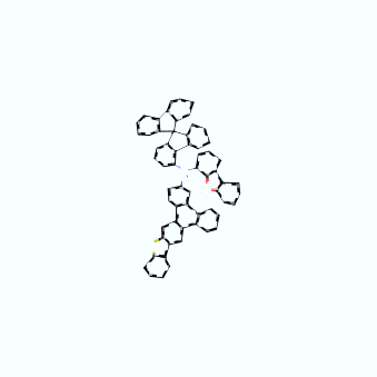 c1ccc2c(c1)-c1ccccc1C21c2ccccc2-c2c(N(c3ccc4c(c3)c3ccccc3c3cc5c(cc43)sc3ccccc35)c3cccc4c3oc3ccccc34)cccc21